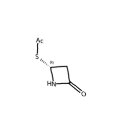 CC(=O)S[C@@H]1CC(=O)N1